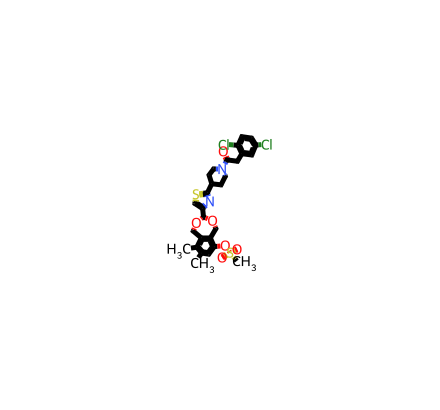 Cc1cc(OS(C)(=O)=O)c2c(c1C)COC(c1csc(C3CCN(C(=O)Cc4cc(Cl)ccc4Cl)CC3)n1)OC2